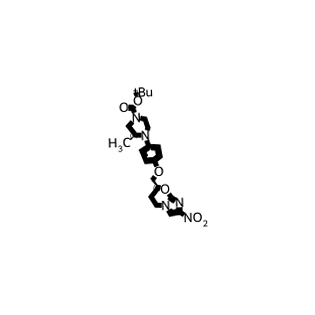 C[C@@H]1CN(C(=O)OC(C)(C)C)CCN1c1ccc(OC[C@@H]2CCn3cc([N+](=O)[O-])nc3O2)cc1